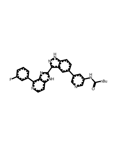 CCCCC(=O)Nc1cncc(-c2ccc3[nH]nc(-c4nc5c(-c6cccc(F)c6)nccc5[nH]4)c3c2)c1